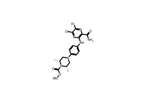 CCc1nc(C(N)=O)c(Nc2ccc(N3C[C@@H](C)N(C(=O)OC(C)(C)C)[C@@H](C)C3)cc2)nc1Cl